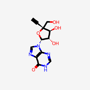 C#C[C@]1(CO)O[C@@H](n2cnc3c(=O)[nH]cnc32)[C@@H](O)[C@@H]1O